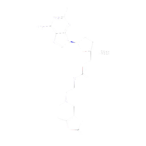 C#C[C@]1(COC(=O)NCCN(C)Cc2oc(=O)oc2C)O[C@@H](n2cnc3c(N)nc(F)nc32)C[C@@H]1O